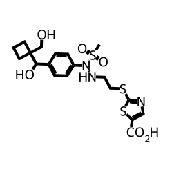 CS(=O)(=O)N(NCCSc1ncc(C(=O)O)s1)c1ccc(C(O)C2(CO)CCC2)cc1